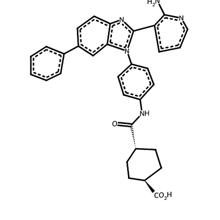 Nc1ncccc1-c1nc2ccc(-c3ccccc3)cc2n1-c1ccc(NC(=O)[C@H]2CC[C@H](C(=O)O)CC2)cc1